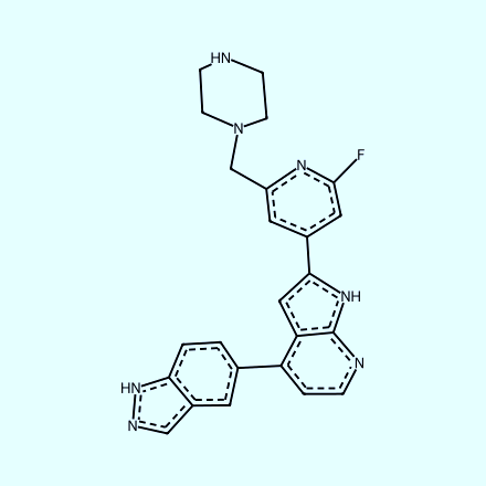 Fc1cc(-c2cc3c(-c4ccc5[nH]ncc5c4)ccnc3[nH]2)cc(CN2CCNCC2)n1